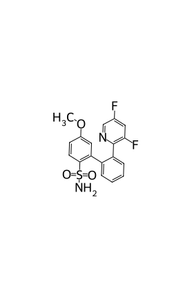 COc1ccc(S(N)(=O)=O)c(-c2ccccc2-c2ncc(F)cc2F)c1